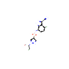 N#Cc1n[nH]c2c(NS(=O)(=O)c3cnn([C@H](CO)CF)c3)ccc(Cl)c12